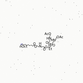 CCCCCCCC/C=C\CCCCCCCC(=O)OCCNCCC(=O)OCC(CC)(COC(=O)CCNCCOC(C)=O)COC(=O)CCNCCOC(C)=O